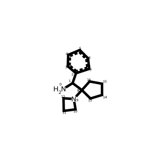 NC(c1ccccc1)C1(N2CCC2)CCCC1